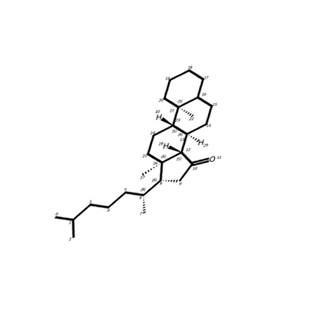 CC(C)CCC[C@@H](C)[C@H]1CC(=O)[C@H]2[C@@H]3CCC4CCCC[C@]4(C)[C@H]3CC[C@]12C